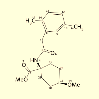 COC(=O)[C@]1(NC(=O)Cc2cc(C)ccc2C)CC[C@@H](OC)CC1